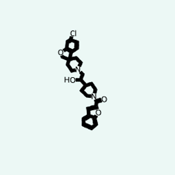 O=C(c1cc2ccccc2o1)N1CCC(C(O)CN2CCC3(CC2)COc2cc(Cl)ccc23)CC1